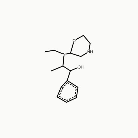 CCN(C1CNCCO1)C(C)C(O)c1ccccc1